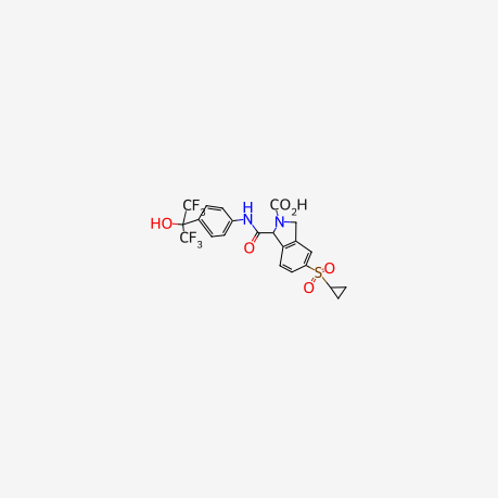 O=C(Nc1ccc(C(O)(C(F)(F)F)C(F)(F)F)cc1)C1c2ccc(S(=O)(=O)C3CC3)cc2CN1C(=O)O